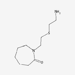 NCCSCCN1CCCCCC1=O